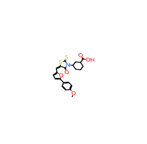 COc1ccc(-c2ccc(C=C3SC(=S)N(C4CCCC(C(=O)O)C4)C3=O)o2)cc1